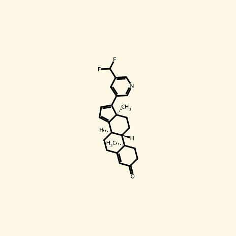 C[C@]12CC[C@H]3[C@@H](CCC4=CC(=O)CC[C@@]43C)C1=CC=C2c1cncc(C(F)F)c1